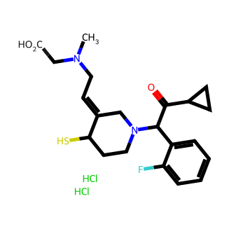 CN(C/C=C1\CN(C(C(=O)C2CC2)c2ccccc2F)CCC1S)CC(=O)O.Cl.Cl